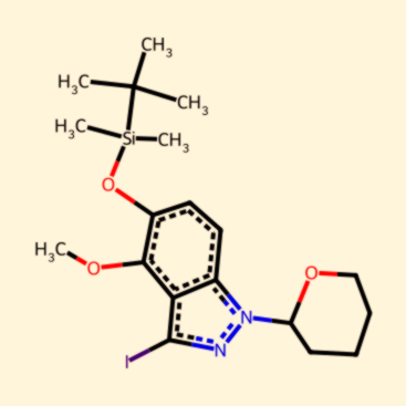 COc1c(O[Si](C)(C)C(C)(C)C)ccc2c1c(I)nn2C1CCCCO1